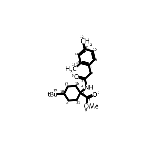 COC(=O)C1(NC(=O)Cc2ccc(C)cc2C)CCC(C(C)(C)C)CC1